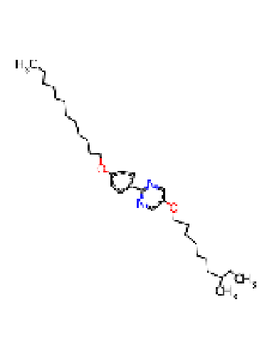 CCCCCCCCCCCCOc1ccc(-c2ncc(OCCCCCCCC(C)CC)cn2)cc1